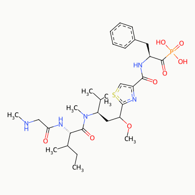 CCC(C)[C@H](NC(=O)CNC)C(=O)N(C)[C@H](CC(OC)c1nc(C(=O)N[C@@H](Cc2ccccc2)C(=O)P(=O)(O)O)cs1)C(C)C